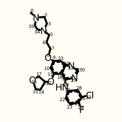 CN1CCN(CCCOc2cc(OC3CCOC3)c3c(Nc4ccc(F)c(Cl)c4)ncnc3c2)CC1